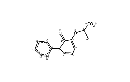 CC(OC1=CC=CC(c2ccccn2)C1=O)C(=O)O